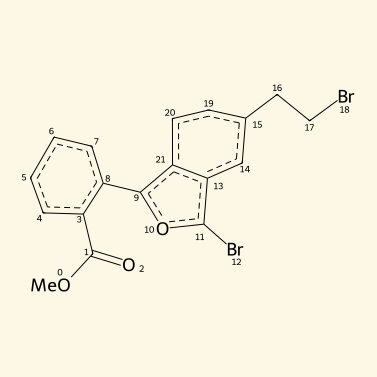 COC(=O)c1ccccc1-c1oc(Br)c2cc(CCBr)ccc12